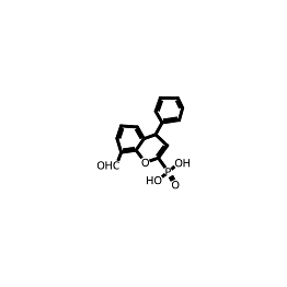 O=Cc1cccc2c1OC(P(=O)(O)O)=CC2c1ccccc1